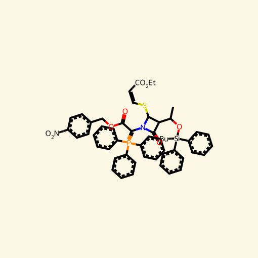 CCOC(=O)/C=C\SC1C(C(C)O[Si](c2ccccc2)(c2ccccc2)C(C)(C)C)C(=O)N1C(C(=O)OCc1ccc([N+](=O)[O-])cc1)=P(c1ccccc1)(c1ccccc1)c1ccccc1